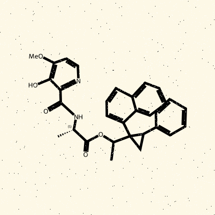 COc1ccnc(C(=O)N[C@@H](C)C(=O)OC(C)C2(c3cccc4ccccc34)CC2c2ccccc2)c1O